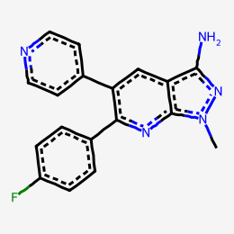 Cn1nc(N)c2cc(-c3ccncc3)c(-c3ccc(F)cc3)nc21